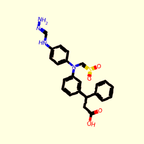 NN=CNc1ccc(N(C=S(=O)=O)c2cccc(C(CC(=O)O)c3ccccc3)c2)cc1